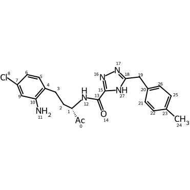 CC(=O)[C@H](CCc1ccc(Cl)cc1N)NC(=O)c1nnc(Cc2ccc(C)cc2)[nH]1